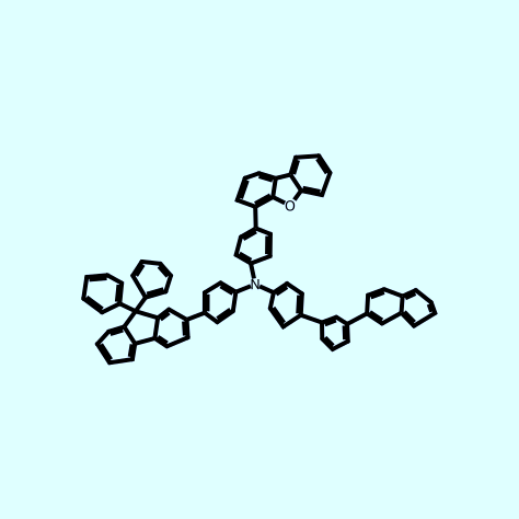 c1ccc(C2(c3ccccc3)c3ccccc3-c3ccc(-c4ccc(N(c5ccc(-c6cccc(-c7ccc8ccccc8c7)c6)cc5)c5ccc(-c6cccc7c6oc6ccccc67)cc5)cc4)cc32)cc1